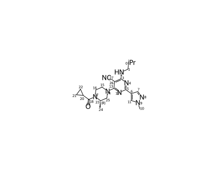 CC(C)CNc1nc(-c2cnn(C)c2)nc(N2CCN(C(=O)C3CC3)[C@H](C)C2)c1C#N